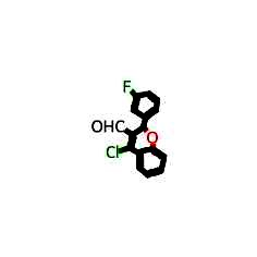 O=CC1=C(Cl)c2ccccc2OC1c1cccc(F)c1